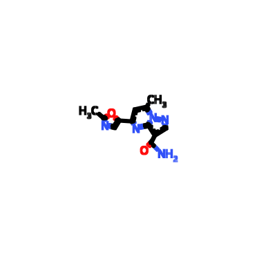 Cc1ncc(-c2cc(C)n3ncc(C(N)=O)c3n2)o1